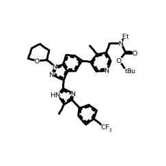 CCN(Cc1cncc(-c2ccc3c(c2)c(-c2nc(-c4ccc(C(F)(F)F)cc4)c(C)[nH]2)nn3C2CCCCO2)c1C)C(=O)OC(C)(C)C